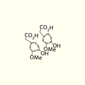 COc1cc(CC(=O)O)ccc1O.COc1cc(CC(=O)O)ccc1O